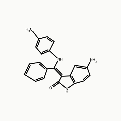 Cc1ccc(NC(=C2C(=O)Nc3ccc(N)cc32)c2ccccc2)cc1